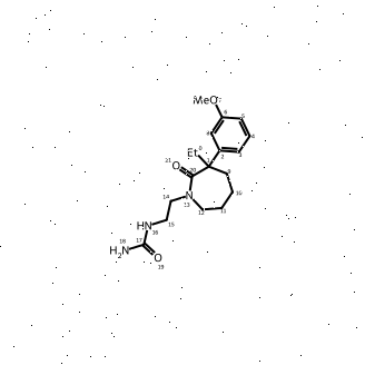 CCC1(c2cccc(OC)c2)CCCCN(CCNC(N)=O)C1=O